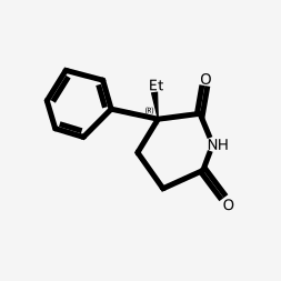 CC[C@]1(c2ccccc2)CCC(=O)NC1=O